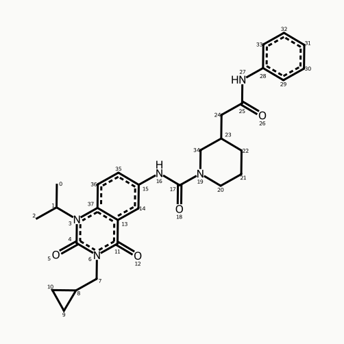 CC(C)n1c(=O)n(CC2CC2)c(=O)c2cc(NC(=O)N3CCCC(CC(=O)Nc4ccccc4)C3)ccc21